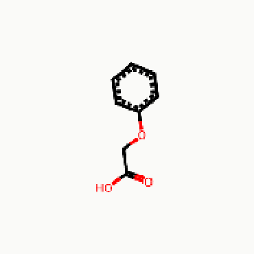 O=C(O)COc1cc[c]cc1